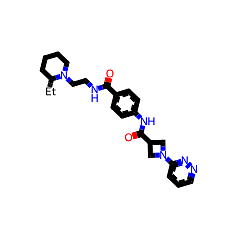 CCC1CCCCN1CCNC(=O)c1ccc(NC(=O)C2CN(c3cccnn3)C2)cc1